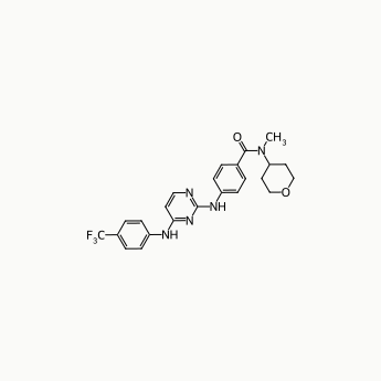 CN(C(=O)c1ccc(Nc2nccc(Nc3ccc(C(F)(F)F)cc3)n2)cc1)C1CCOCC1